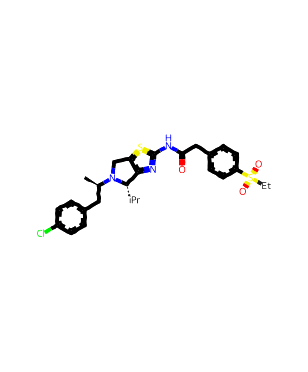 CCS(=O)(=O)c1ccc(CC(=O)Nc2nc3c(s2)CN([C@H](C)Cc2ccc(Cl)cc2)[C@H]3C(C)C)cc1